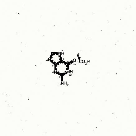 CC(=O)O.Nc1nc2nc[nH]c2c(=O)[nH]1